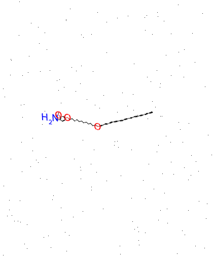 C#CC#CC#CC#CC#CC#CC#CC#CC#CC#CC#COCCCCCCCCCCCCOc1ccc(CN)c(OC)c1